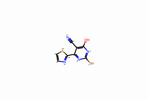 N#Cc1c(O)nc(S)nc1-c1nccs1